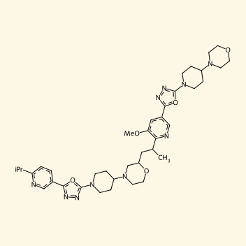 COc1cc(-c2nnc(N3CCC(N4CCOCC4)CC3)o2)cnc1C(C)CC1CN(C2CCN(c3nnc(-c4ccc(C(C)C)nc4)o3)CC2)CCO1